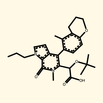 CCCn1ccc2c(-c3ccc4c(c3C)CCCO4)c(C(OC(C)(C)C)C(=O)O)n(C)c(=O)c21